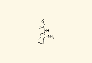 COCC(=O)N[C@@H]1Cc2ccccc2[C@H]1N